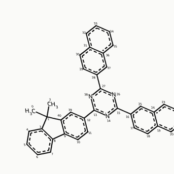 CC1(C)c2ccccc2-c2ccc(-c3nc(-c4ccc5ccccc5c4)nc(-c4ccc5ccccc5c4)n3)cc21